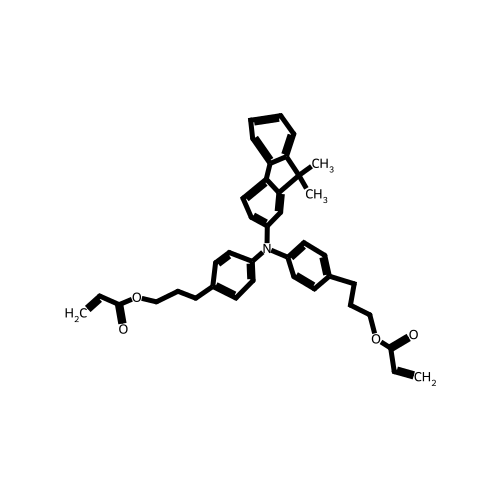 C=CC(=O)OCCCc1ccc(N(c2ccc(CCCOC(=O)C=C)cc2)c2ccc3c(c2)C(C)(C)c2ccccc2-3)cc1